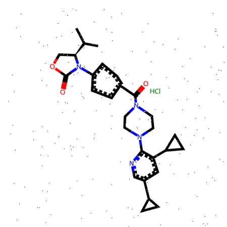 CC(C)[C@@H]1COC(=O)N1c1ccc(C(=O)N2CCN(c3ncc(C4CC4)cc3C3CC3)CC2)cc1.Cl